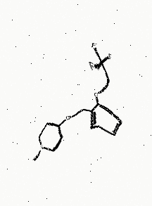 CN1CCC(Oc2ccccc2OCC(F)(F)F)CC1